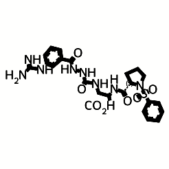 N=C(N)Nc1cccc(C(=O)NNC(=O)NCC(NC(=O)[C@@H]2CCCN2S(=O)(=O)c2ccccc2)C(=O)O)c1